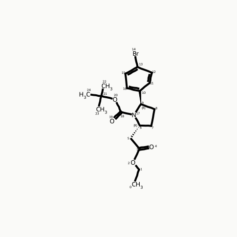 CCOC(=O)C[C@H]1CC[C@H](c2ccc(Br)cc2)N1C(=O)OC(C)(C)C